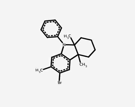 Cc1cc2c(cc1Br)C1(C)CCCCC1(C)N2c1ccccc1